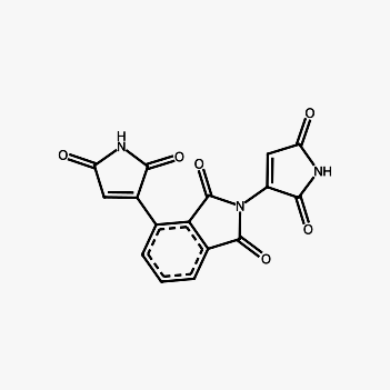 O=C1C=C(c2cccc3c2C(=O)N(C2=CC(=O)NC2=O)C3=O)C(=O)N1